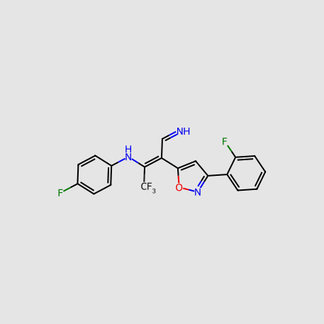 N=C/C(=C(\Nc1ccc(F)cc1)C(F)(F)F)c1cc(-c2ccccc2F)no1